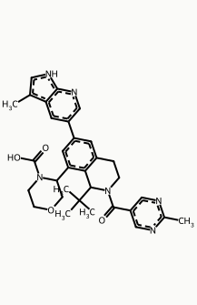 Cc1ncc(C(=O)N2CCc3cc(-c4cnc5[nH]cc(C)c5c4)cc(C4COCCN4C(=O)O)c3C2C(C)(C)C)cn1